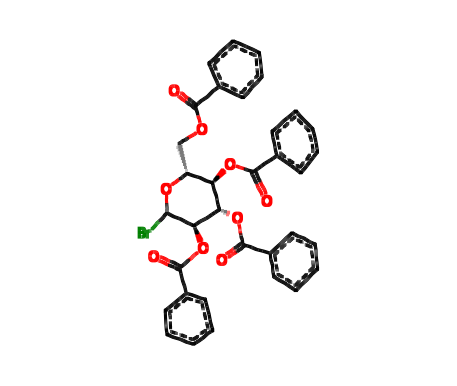 O=C(OC[C@H]1OC(Br)[C@H](OC(=O)c2ccccc2)[C@@H](OC(=O)c2ccccc2)[C@@H]1OC(=O)c1ccccc1)c1ccccc1